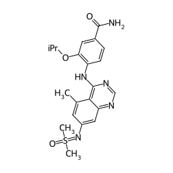 Cc1cc(N=S(C)(C)=O)cc2ncnc(Nc3ccc(C(N)=O)cc3OC(C)C)c12